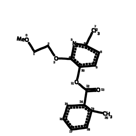 COCCOc1nc(C(F)(F)F)ccc1OC(=O)c1ccccc1C